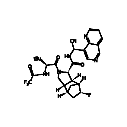 CC(C)(C)[C@H](NC(=O)C(F)(F)F)C(=O)N1C[C@@H]2[C@H]3C[C@@H]([C@@H]2[C@H]1C(=O)NC(C#N)c1cncc2cccnc12)[C@H](F)C3